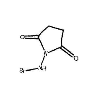 O=C1CCC(=O)N1NBr